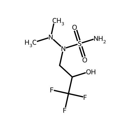 CN(C)N(CC(O)C(F)(F)F)S(N)(=O)=O